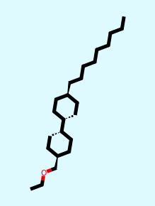 CCCCCCCCC[C@H]1CC[C@H]([C@H]2CC[C@H](COCC)CC2)CC1